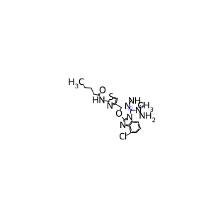 CCCCC(=O)Nc1nc(COc2nc3c(Cl)cccc3n2/C(=N/N)N(C)N)cs1